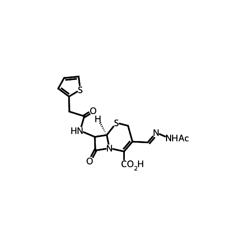 CC(=O)N/N=C/C1=C(C(=O)O)N2C(=O)C(NC(=O)Cc3cccs3)[C@H]2SC1